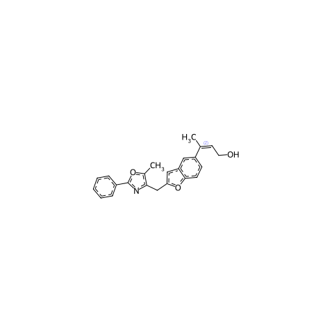 C/C(=C/CO)c1ccc2oc(Cc3nc(-c4ccccc4)oc3C)cc2c1